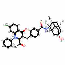 COC(=O)c1c(Cc2ccc(C(=O)N[C@H]3[C@@H]4C[C@H]5C[C@H]3C[C@](O)(C5)C4)cc2)c(=O)c2ccc(Cl)cc2n1-c1ccccc1